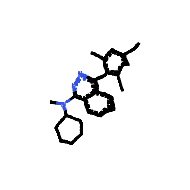 Cc1cc(C)c(-c2nnc(N(C)C3CCCCC3)c3ccccc23)c(C)c1